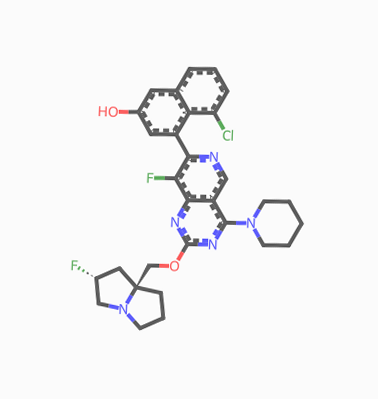 Oc1cc(-c2ncc3c(N4CCCCC4)nc(OC[C@@]45CCCN4C[C@H](F)C5)nc3c2F)c2c(Cl)cccc2c1